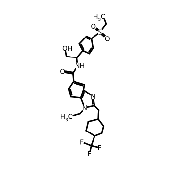 CCn1c(CC2CCC(C(F)(F)F)CC2)nc2cc(C(=O)N[C@@H](CO)c3ccc(S(=O)(=O)CC)cc3)ccc21